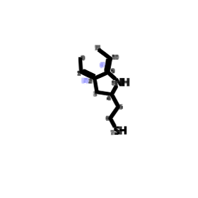 C/C=C1/CC(CCS)N/C1=C/C